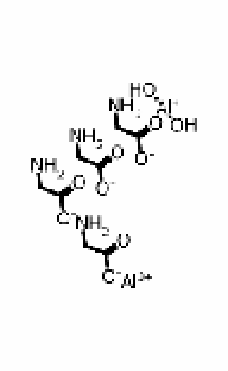 NCC(=O)[O-].NCC(=O)[O-].NCC(=O)[O-].NCC(=O)[O-].[Al+3].[OH][Al+][OH]